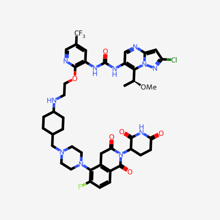 CO[C@@H](C)c1c(NC(=O)Nc2cc(C(F)(F)F)cnc2OCCNC2CCC(CN3CCN(c4c(F)ccc5c4CC(=O)N(C4CCC(=O)NC4=O)C5=O)CC3)CC2)cnc2cc(Cl)nn12